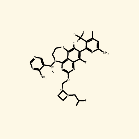 Cc1cc(N)nc(-c2c(Cl)c3c4c(nc(OC[C@@H]5CCN5CC(F)F)nc4c2F)N([C@H](C)c2cncnc2N)CCO3)c1C(F)(F)F